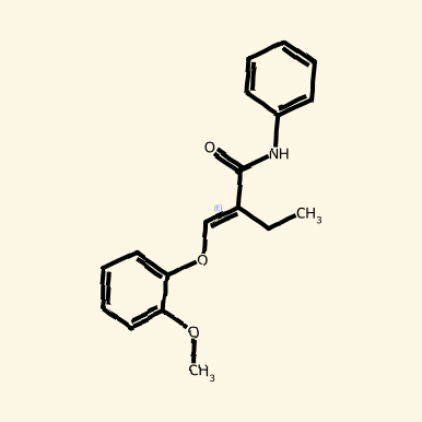 CC/C(=C\Oc1ccccc1OC)C(=O)Nc1ccccc1